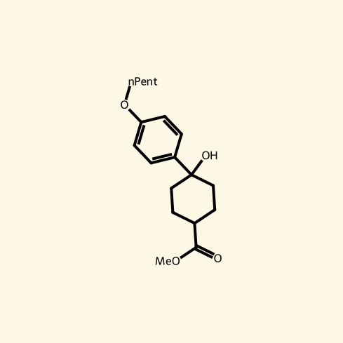 CCCCCOc1ccc(C2(O)CCC(C(=O)OC)CC2)cc1